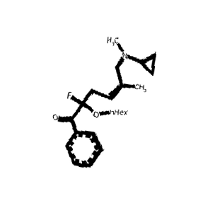 CCCCCCOC(F)(CC=C(C)CN(C)C1CC1)C(=O)c1ccccc1